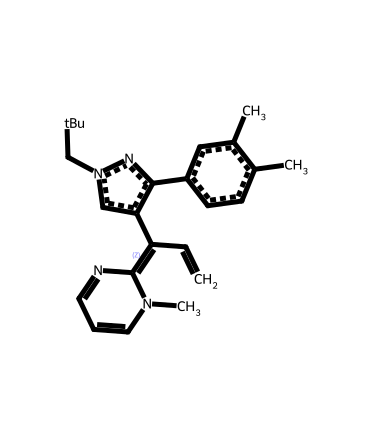 C=C/C(=C1/N=CC=CN1C)c1cn(CC(C)(C)C)nc1-c1ccc(C)c(C)c1